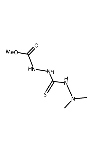 COC(=O)NNC(=S)NN(C)C